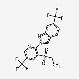 CCS(=O)(=O)c1cc(C(F)(F)F)cnc1-n1cc2cnc(C(F)(F)F)cc2n1